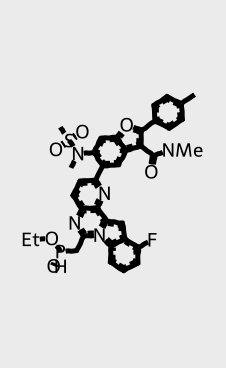 CCO[PH](=O)Cc1nc2ccc(-c3cc4c(C(=O)NC)c(-c5ccc(C)cc5)oc4cc3N(C)S(C)(=O)=O)nc2c2cc3c(F)cccc3n12